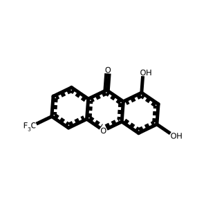 O=c1c2ccc(C(F)(F)F)cc2oc2cc(O)cc(O)c12